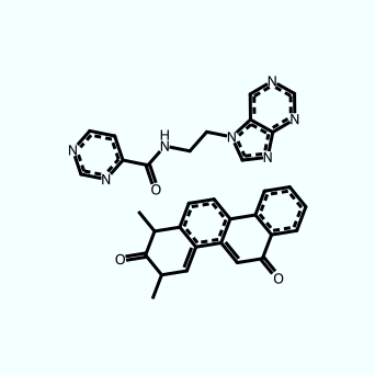 CC1C=c2c(ccc3c2=CC(=O)c2ccccc2-3)C(C)C1=O.O=C(NCCn1cnc2ncncc21)c1ccncn1